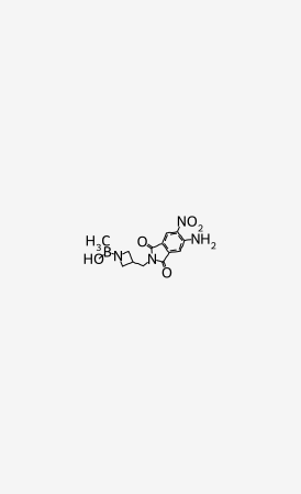 CB(O)N1CC(CN2C(=O)c3cc(N)c([N+](=O)[O-])cc3C2=O)C1